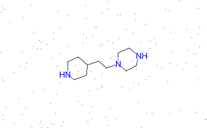 C1CC(CCN2CCNCC2)CCN1